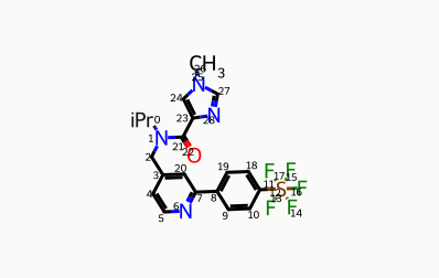 CC(C)N(Cc1ccnc(-c2ccc(S(F)(F)(F)(F)F)cc2)c1)C(=O)c1cn(C)cn1